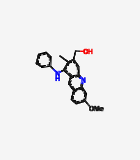 COc1ccc2cc3c(Nc4ccccc4)c(C)c(CO)cc3nc2c1